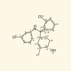 O=C1Nc2cc(Cl)ccc2[C@]12C=C(I)[C@@H](O)C[C@H]2c1cccc(Cl)c1